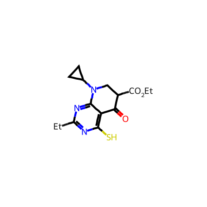 CCOC(=O)C1CN(C2CC2)c2nc(CC)nc(S)c2C1=O